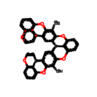 CC(C)(C)c1c2c(cc3c1Oc1cccc4c1B3c1cc3c(c(C(C)(C)C)c1O4)Oc1cccc4c1B3c1ccccc1O4)B1c3ccccc3Oc3cccc(c31)O2